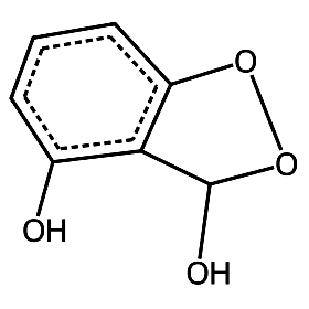 Oc1cccc2c1C(O)OO2